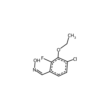 CCOc1c(Cl)ccc(/C=N\O)c1F